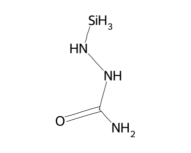 NC(=O)NN[SiH3]